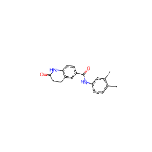 Cc1ccc(NC(=O)c2ccc3c(c2)CCC(=O)N3)cc1C